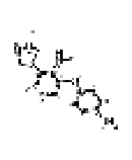 CNc1c(Oc2ccc(N)cc2)ccnc1C1C=NN(C)C1